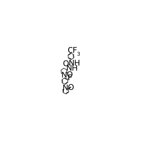 O=C(Nc1ccc(C(F)(F)F)cc1)NC1CCCN(c2ccc(-n3ccccc3=O)cc2F)C1=O